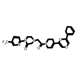 O=C(CN1CCN(c2ccc(C(F)(F)F)cn2)C(=O)C1)N1CC=C(C2=COC=C(C3=CC=CCC3)O2)CC1